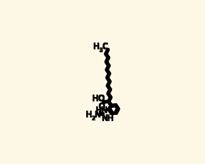 CCCCCCCCCCCCCCC(C(=O)O)c1ccccc1NC(=N)N